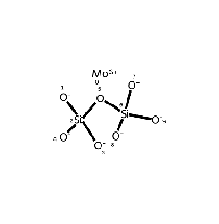 [Mo+6].[O-][Si]([O-])([O-])O[Si]([O-])([O-])[O-]